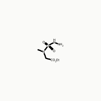 CCOC(=O)CN(C)S(=O)(=O)NN